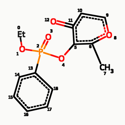 CCOP(=O)(Oc1c(C)occc1=O)c1ccccc1